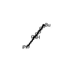 CCCCOCCOCCOCCOCCNC(=O)CCCCCCCCOC(C)C